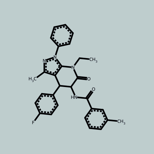 CCN1C(=O)C(NC(=O)c2cccc(C)c2)C(c2ccc(F)cc2)c2c(C)nn(-c3ccccc3)c21